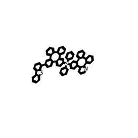 c1ccc([Si](c2ccccc2)(c2ccc3c(c2)-c2ccccc2-c2ccccc2-c2cc(-c4cccc5c4sc4ccccc45)ccc2-3)c2ccc3c(c2)-c2ccccc2-c2ccccc2-c2ncccc2-3)cc1